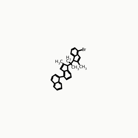 CC1=Cc2c(Br)cccc2C1C(C)(C)C1C(C)=Cc2c(-c3cccc4ccccc34)cccc21